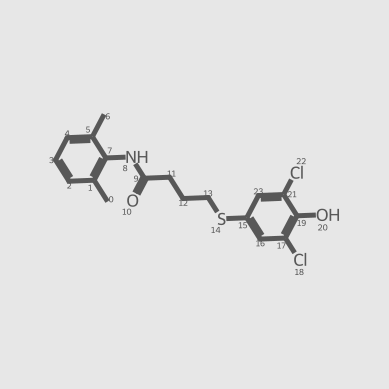 Cc1cccc(C)c1NC(=O)CCCSc1cc(Cl)c(O)c(Cl)c1